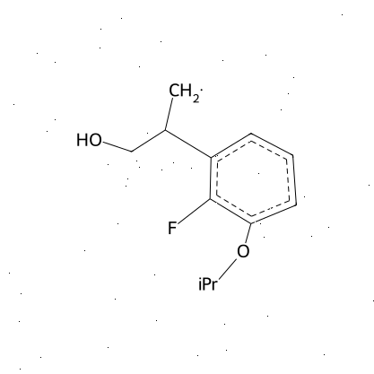 [CH2]C(CO)c1cccc(OC(C)C)c1F